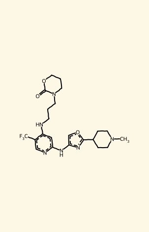 CN1CCC(c2nc(Nc3cc(NCCCN4CCCOC4=O)c(C(F)(F)F)cn3)co2)CC1